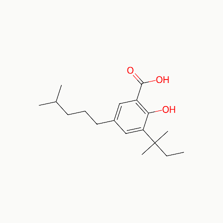 CCC(C)(C)c1cc(CCCC(C)C)cc(C(=O)O)c1O